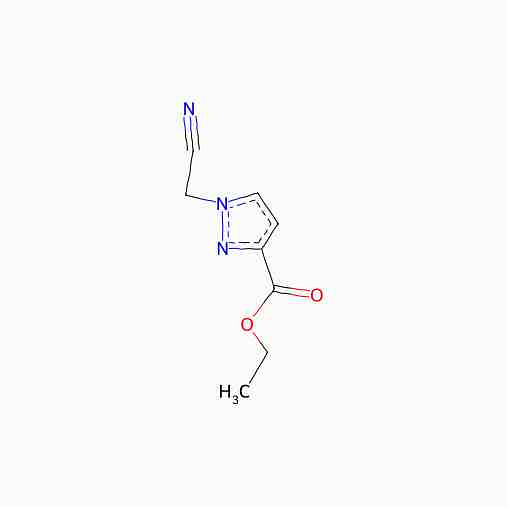 CCOC(=O)c1ccn(CC#N)n1